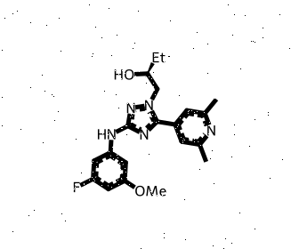 CC[C@H](O)Cn1nc(Nc2cc(F)cc(OC)c2)nc1-c1cc(C)nc(C)c1